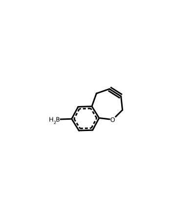 Bc1ccc2c(c1)CC#CCO2